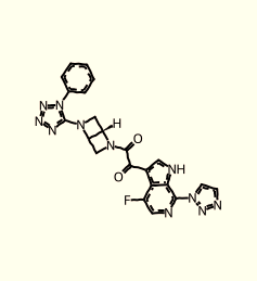 O=C(C(=O)N1CC2[C@@H]1CN2c1nnnn1-c1ccccc1)c1c[nH]c2c(-n3ccnn3)ncc(F)c12